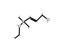 CCO[Si](C)(C)/C=C/CCl